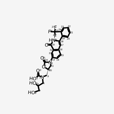 O=C(O)N(CC(O)CO)C[C@H]1CN(c2ccc3cc(-c4ccccc4C(F)(F)F)[nH]c(=O)c3c2)C(=O)O1